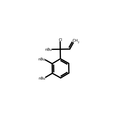 C=CC(Cl)(CCCC)c1cccc(CCCC)c1CCCC